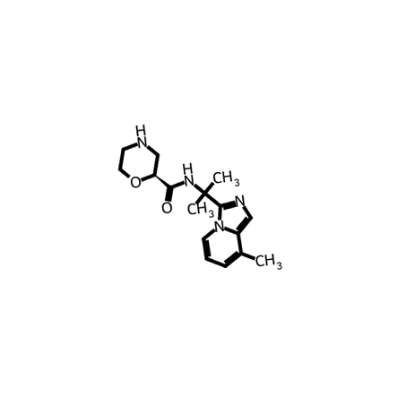 Cc1cccn2c(C(C)(C)NC(=O)[C@@H]3CNCCO3)ncc12